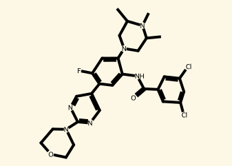 CC1CN(c2cc(F)c(-c3cnc(N4CCOCC4)nc3)cc2NC(=O)c2cc(Cl)cc(Cl)c2)CC(C)N1C